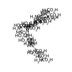 CC(C)C[C@H](N)C(=O)O.CC(C)[C@H](N)C(=O)O.CC[C@H](C)[C@H](N)C(=O)O.C[C@@H](O)[C@H](N)C(=O)O.N=C(N)NCCC[C@H](N)C(=O)O.NC(=O)CC[C@H](N)C(=O)O.NC(=O)C[C@H](N)C(=O)O.NCCCC[C@H](N)C(=O)O.N[C@@H](CC(=O)O)C(=O)O.N[C@@H](CCC(=O)O)C(=O)O.N[C@@H](CS)C(=O)O.N[C@@H](Cc1c[nH]c2ccccc12)C(=O)O.N[C@@H](Cc1c[nH]cn1)C(=O)O.O=C(O)[C@@H]1CCCN1